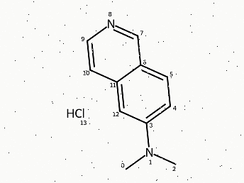 CN(C)c1ccc2cnccc2c1.Cl